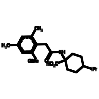 COc1cc(C)cc(C)c1CC(=O)NC1(C(=O)O)CCC(C(C)C)CC1